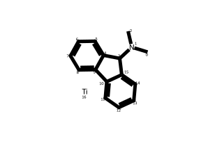 CN(C)C1c2ccccc2-c2ccccc21.[Ti]